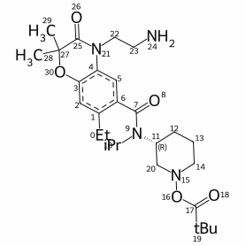 CCc1cc2c(cc1C(=O)N(C(C)C)[C@@H]1CCCN(OC(=O)C(C)(C)C)C1)N(CCN)C(=O)C(C)(C)O2